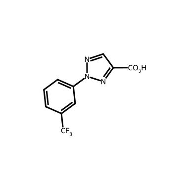 O=C(O)c1cnn(-c2cccc(C(F)(F)F)c2)n1